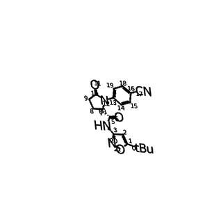 CC(C)(C)c1cc(NC(=O)[C@@H]2CCC(=O)N2c2ccc(C#N)cc2)no1